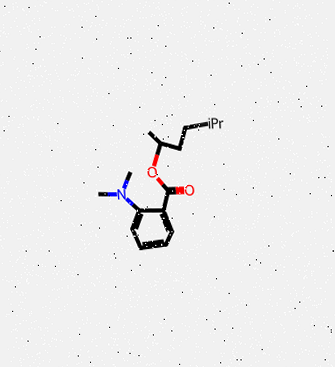 CC(C)CCC(C)OC(=O)c1ccccc1N(C)C